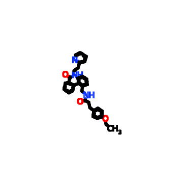 CCOc1ccc(CCC(=O)NCc2ccccc2-c2ccccc2C(=O)NCCc2ccccn2)cc1